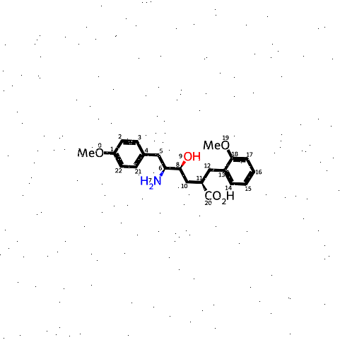 COc1ccc(C[C@H](N)[C@@H](O)C[C@@H](Cc2ccccc2OC)C(=O)O)cc1